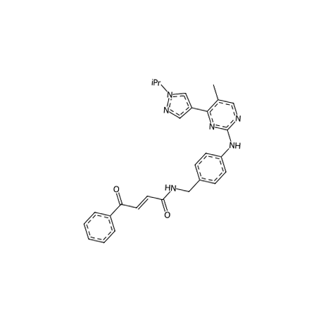 Cc1cnc(Nc2ccc(CNC(=O)C=CC(=O)c3ccccc3)cc2)nc1-c1cnn(C(C)C)c1